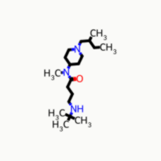 CCC(C)CN1CCC(N(C)C(=O)CCCNC(C)(C)C)CC1